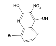 O=[N+]([O-])c1c(O)nc2c(Br)cccc2c1O